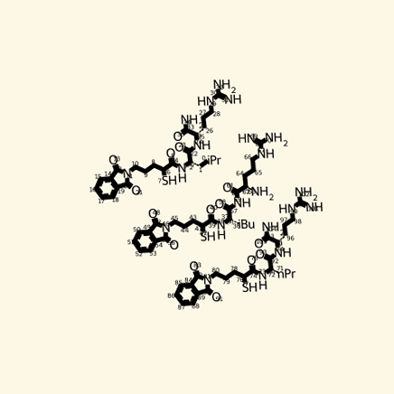 CC(C)C[C@H](NC(=O)C(S)CCCN1C(=O)c2ccccc2C1=O)C(=O)N[C@@H](CCCNC(=N)N)C(N)=O.CCC(C)[C@H](NC(=O)C(S)CCCN1C(=O)c2ccccc2C1=O)C(=O)NC(=O)[C@@H](N)CCCNC(=N)N.CCC[C@H](NC(=O)C(S)CCCN1C(=O)c2ccccc2C1=O)C(=O)N[C@@H](CCCNC(=N)N)C(N)=O